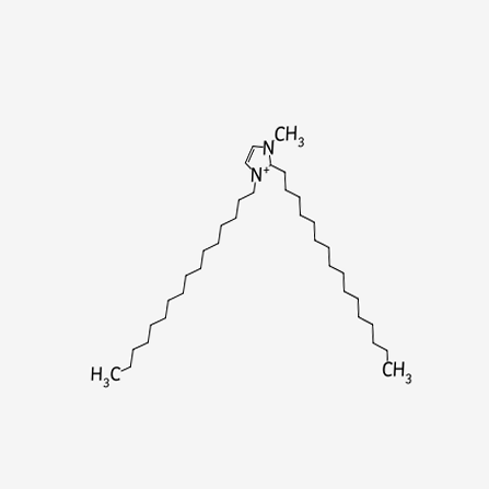 CCCCCCCCCCCCCCCCc1n(C)cc[n+]1CCCCCCCCCCCCCCCC